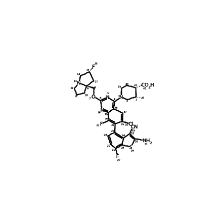 C[C@@H]1CN(c2nc(OC[C@@]34CCCN3C[C@H](F)C4)nc3c(F)c(-c4ccc(F)c5sc(N)c(C#N)c45)c(Cl)cc23)CC[C@@H]1C(=O)O